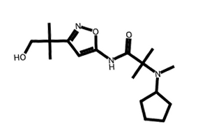 CN(C1CCCC1)C(C)(C)C(=O)Nc1cc(C(C)(C)CO)no1